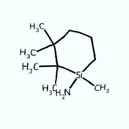 CC1(C)CCC[Si](C)(N)C1(C)C